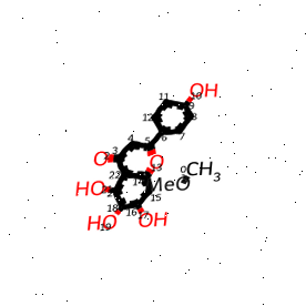 COC.O=c1cc(-c2ccc(O)cc2)oc2cc(O)c(O)c(O)c12